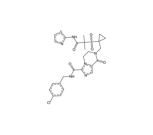 CC(C)(C(=O)Nc1nccs1)S(=O)(=O)C1(CN2CCn3c(cnc3C(=O)NCc3ccc(Cl)cc3)C2=O)CC1